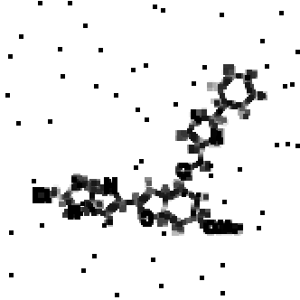 CCc1nn2cc(-c3cc4c(OCc5csc(-c6ccccc6)n5)cc(OC)cc4o3)nc2s1